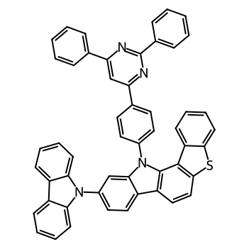 c1ccc(-c2cc(-c3ccc(-n4c5cc(-n6c7ccccc7c7ccccc76)ccc5c5ccc6sc7ccccc7c6c54)cc3)nc(-c3ccccc3)n2)cc1